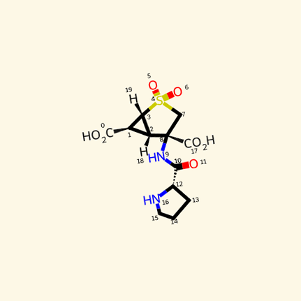 O=C(O)[C@@H]1[C@@H]2[C@H]1S(=O)(=O)C[C@@]2(NC(=O)[C@@H]1CCCN1)C(=O)O